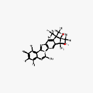 [2H]c1c([2H])c([2H])c2c(nc(C(C)(C)C)n3c4cc5c(cc4nc23)C(C([2H])([2H])[2H])(C([2H])([2H])[2H])C(C)(C([2H])([2H])[2H])C5(C)C)c1[2H]